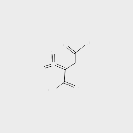 O=C(O)CC(C(=O)O)=S(=O)=O